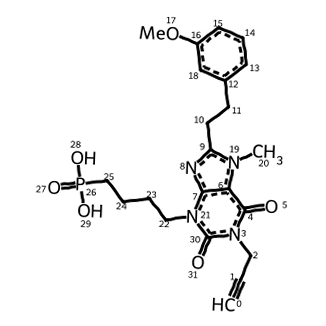 C#CCn1c(=O)c2c(nc(CCc3cccc(OC)c3)n2C)n(CCCCP(=O)(O)O)c1=O